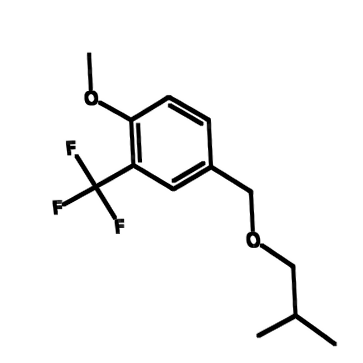 COc1ccc(COCC(C)C)cc1C(F)(F)F